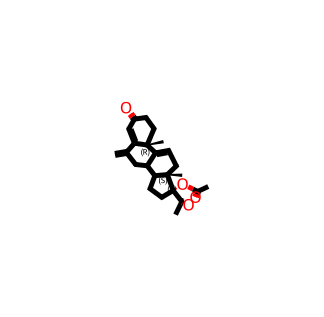 C=C1CC2C(=CC[C@@]3(C)C2CC[C@]3(OC(C)=O)C(C)=O)[C@@]2(C)CCC(=O)C=C12